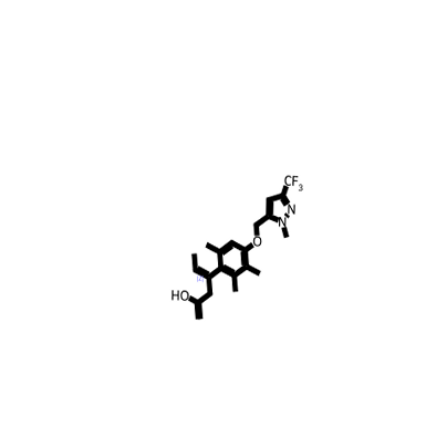 C=C(O)C/C(=C/C)c1c(C)cc(OCc2cc(C(F)(F)F)nn2C)c(C)c1C